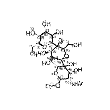 CCO[C@H]1O[C@H](CO)[C@](O)([C@@H]2O[C@H](CO)[C@@](O)([C@@H]3O[C@H](CO)[C@H](O)[C@H](O)[C@H]3O)[C@H](O)[C@H]2O)[C@H](O)[C@@H]1NC(C)=O